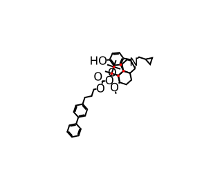 COC12CCC3(CC1C(C)(OC(=O)OCCCc1ccc(-c4ccccc4)cc1)C(C)(C)C)C1Cc4ccc(O)c5c4C3(CCN1CC1CC1)C2O5